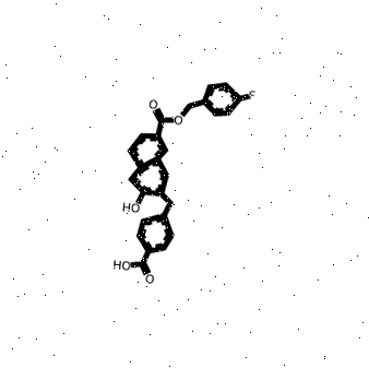 O=C(O)c1ccc(Cc2cc3cc(C(=O)OCc4ccc(F)cc4)ccc3cc2O)cc1